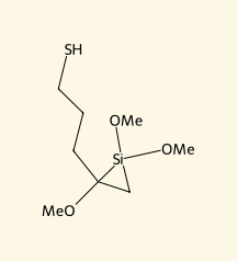 COC1(CCCS)C[Si]1(OC)OC